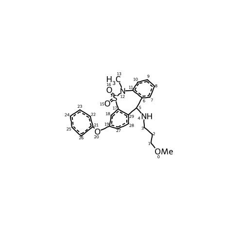 COCCCNC1c2ccccc2N(C)S(=O)(=O)c2cc(Oc3ccccc3)ccc21